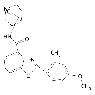 COc1ccc(-c2nc3c(C(=O)NC4CN5CCC4CC5)cccc3o2)c(C)c1